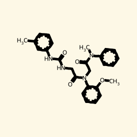 COc1ccccc1N(CC(=O)N(C)c1ccccc1)C(=O)CNC(=O)Nc1cccc(C)c1